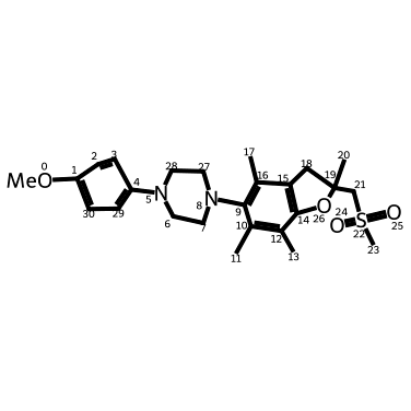 COc1ccc(N2CCN(c3c(C)c(C)c4c(c3C)CC(C)(CS(C)(=O)=O)O4)CC2)cc1